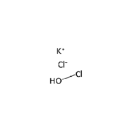 OCl.[Cl-].[K+]